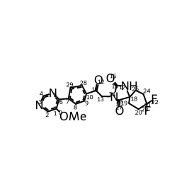 COc1cncnc1-c1ccc(C(=O)CN2C(=O)NC3(CCC(F)(F)CC3)C2=O)cc1